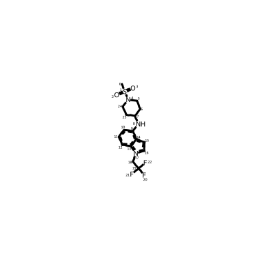 CS(=O)(=O)N1CCC(Nc2cccc3c2ccn3CC(F)(F)F)CC1